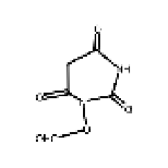 O=CON1C(=O)CC(=O)NC1=O